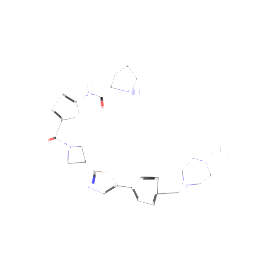 CN1CCN(Cc2ccc(-c3cnc(C4CN(C(=O)c5ccc(NC(=O)[C@@H]6CCCN6)s5)C4)s3)cc2)CC1